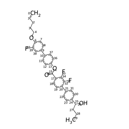 C=CCCCOc1ccc(-c2ccc(OC(=O)c3ccc(-c4ccc(C(O)CCC)cc4)c(F)c3F)cc2)cc1F